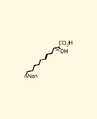 CCCCCCCCCCCCCCC=CCC[C@@H](O)C(=O)O